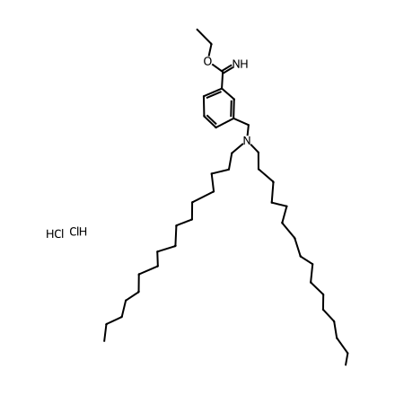 CCCCCCCCCCCCCCCCN(CCCCCCCCCCCCCCCC)Cc1cccc(C(=N)OCC)c1.Cl.Cl